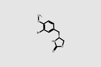 COc1ccc(C[C@H]2COC(=O)N2)cc1Br